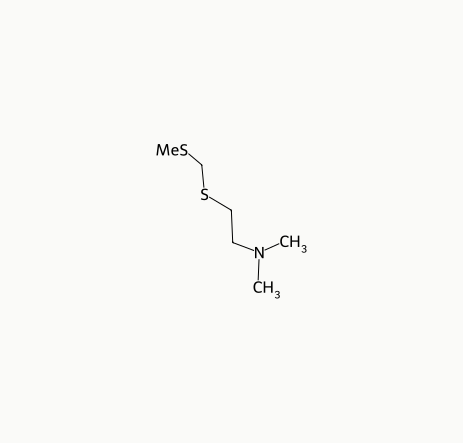 CSCSCCN(C)C